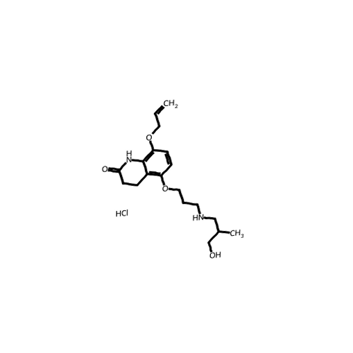 C=CCOc1ccc(OCCCNCC(C)CO)c2c1NC(=O)CC2.Cl